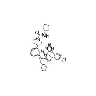 O=C(NC1CCCC1)N1CCC(c2cccc([C@H](Cc3ccccc3)c3ccc(-c4cc(Cl)ccc4-n4cnnn4)c[n+]3[O-])c2)CC1